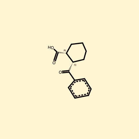 O=C(c1ccccc1)[C@H]1CCCC[C@H]1C(=O)O